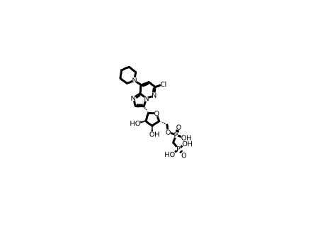 O=P(O)(O)CP(=O)(O)OC[C@H]1O[C@@H](c2cnc3c(N4CCCCC4)cc(Cl)nn23)[C@H](O)[C@@H]1O